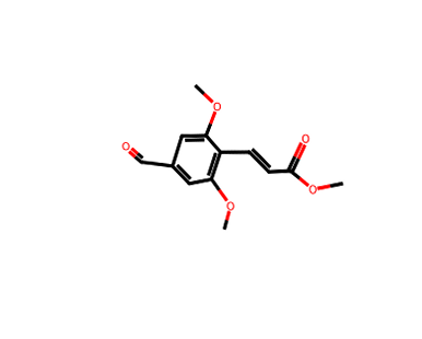 COC(=O)/C=C/c1c(OC)cc(C=O)cc1OC